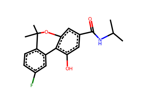 CC(C)NC(=O)c1cc(O)c2c(c1)OC(C)(C)c1ccc(F)cc1-2